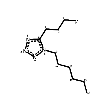 [CH2]CCCc1nnnn1CCCCCC